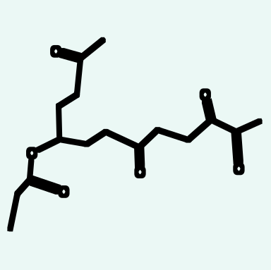 CCC(=O)OC(CCC(C)=O)CCC(=O)CCC(=O)C(C)=O